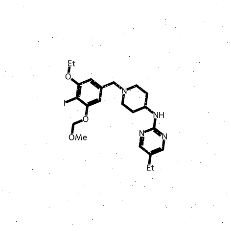 CCOc1cc(CN2CCC(Nc3ncc(CC)cn3)CC2)cc(OCOC)c1I